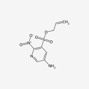 C=CCOS(=O)(=O)c1cc(N)cnc1[N+](=O)[O-]